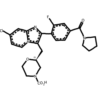 O=C(O)N1CCO[C@@H](Cc2c(-c3ccc(C(=O)N4CCCC4)cc3F)nc3cc(Cl)ccn23)C1